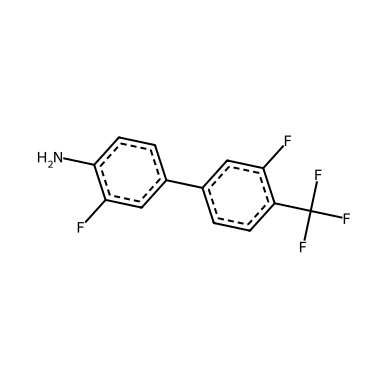 Nc1ccc(-c2ccc(C(F)(F)F)c(F)c2)cc1F